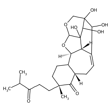 CC(C)C(=O)CC[C@]1(C)CCC2[C@H](CC=C3C(O)C4(O)COC5O[C@H]2[C@@H]3C5(O)C4O)C1=O